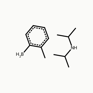 Bc1ccccc1C.CC(C)NC(C)C